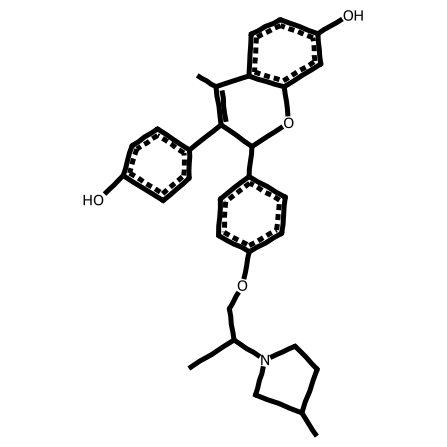 CC1=C(c2ccc(O)cc2)C(c2ccc(OCC(C)N3CCC(C)C3)cc2)Oc2cc(O)ccc21